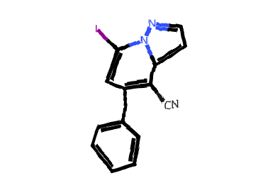 N#Cc1c(-c2ccccc2)cc(I)n2nccc12